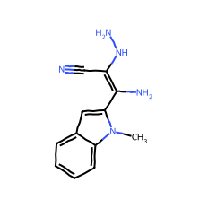 Cn1c(/C(N)=C(\C#N)NN)cc2ccccc21